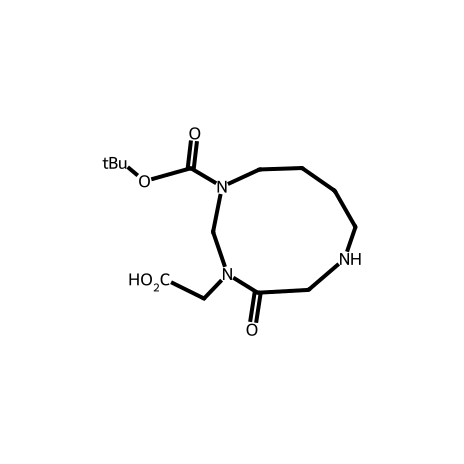 CC(C)(C)OC(=O)N1CCCCNCC(=O)N(CC(=O)O)C1